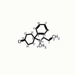 C=CCN(C)C1(c2ccccc2)CCC(=O)CC1